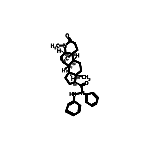 CN1C(=O)CC[C@]2(C)[C@H]3CC[C@]4(C)[C@@H](C(=O)N(Nc5ccccc5)c5ccccc5)CC[C@H]4[C@@H]3CC[C@@H]12